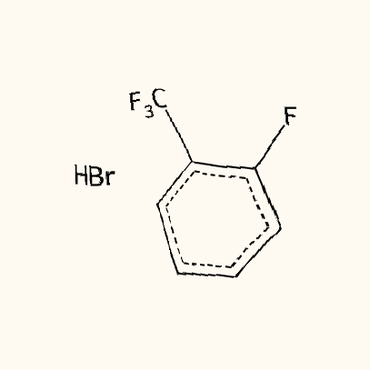 Br.Fc1ccccc1C(F)(F)F